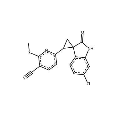 CSc1nc(C2CC23C(=O)Nc2cc(Cl)ccc23)ccc1C#N